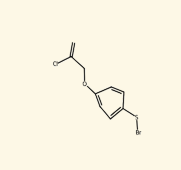 C=C(Cl)COc1ccc(SBr)cc1